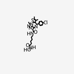 Cc1sc2c(c1C)C(c1ccc(Cl)cc1)=N[C@@](C)(CC(=O)NCCCCCC(=O)NO)c1nnc(C)n1-2